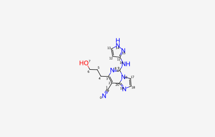 N#Cc1c(CCCO)nc(Nc2cc[nH]n2)n2ccnc12